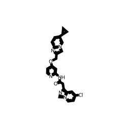 O=C(Cc1ncn2ccc(Cl)cc12)Nc1cc(OCc2cn3cc(C4CC4)ccc3n2)ccn1